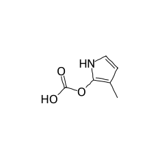 Cc1cc[nH]c1OC(=O)O